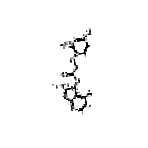 O=C(COc1ccc(Cl)cc1Cl)On1c(C(F)(F)F)nc2nccc(Cl)c21